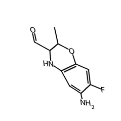 CC1Oc2cc(F)c(N)cc2NC1C=O